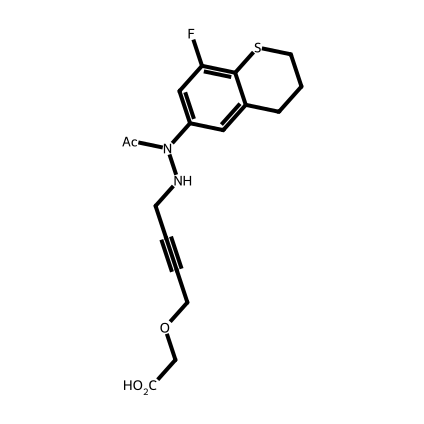 CC(=O)N(NCC#CCOCC(=O)O)c1cc(F)c2c(c1)CCCS2